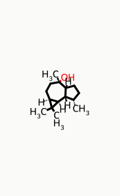 C[C@H]1CC[C@@H]2[C@H]1[C@@H]1[C@H](CC[C@]2(C)O)C1(C)C